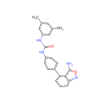 Cc1cc(C)cc(NC(=O)Nc2ccc(-c3cccc4noc(N)c34)cc2)c1